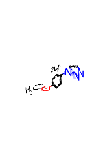 COc1ccc(-n2ccnn2)cc1.[2H]